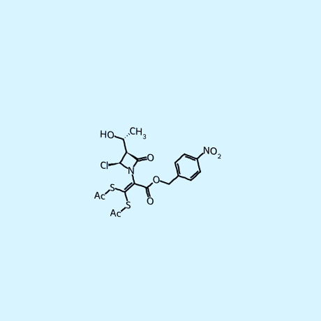 CC(=O)SC(SC(C)=O)=C(C(=O)OCc1ccc([N+](=O)[O-])cc1)N1C(=O)[C@H]([C@@H](C)O)[C@@H]1Cl